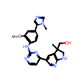 COc1cc(-c2cncn2C)ccc1Nc1nccc(-c2cnc3c(c2)C(C)(CO)CN3)n1